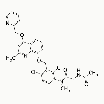 CC(=O)NCC(=O)N(C)c1ccc(Cl)c(COc2cccc3c(OCc4ccccn4)cc(C)nc23)c1Cl